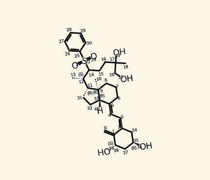 C=C1C(=CC=C2CCC[C@]3(C)[C@@H]([C@H](C)C(CCC(C)(O)CO)S(=O)(=O)c4ccccc4)CC[C@@H]23)C[C@@H](O)C[C@@H]1O